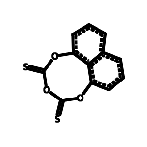 S=C1OC(=S)Oc2cccc3cccc(c23)O1